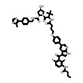 CCCC(=O)Nc1ccc(F)c(C(=O)c2c[nH]c3ncc(-c4ccc(OCCCC(=O)NC(C(=O)N5C[C@H](O)C[C@H]5C(=O)NCc5ccc(-c6scnc6C)cc5)C(C)(C)C)cc4)cc23)c1F